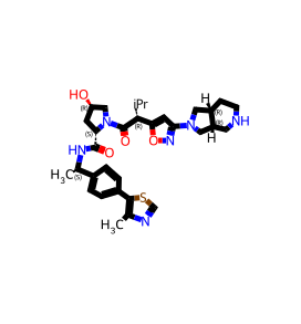 Cc1ncsc1-c1ccc([C@H](C)NC(=O)[C@@H]2C[C@@H](O)CN2C(=O)[C@@H](c2cc(N3C[C@H]4CNCC[C@H]4C3)no2)C(C)C)cc1